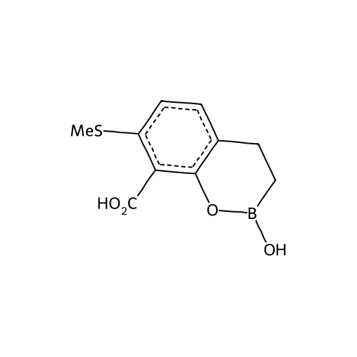 CSc1ccc2c(c1C(=O)O)OB(O)CC2